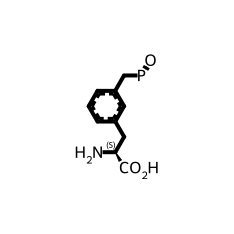 N[C@@H](Cc1cccc(CP=O)c1)C(=O)O